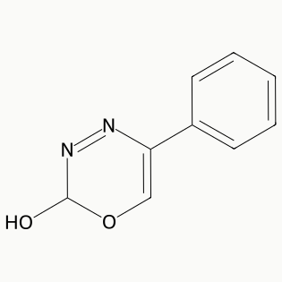 OC1N=NC(c2ccccc2)=CO1